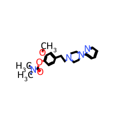 COc1cc(CCN2CCN(c3ccccn3)CC2)ccc1OC(=O)N(C)C